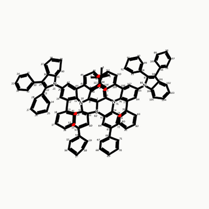 CC(C)(C)c1cc2c3c(c1)N(c1c(-c4ccccc4)cc(-n4c(-c5ccccc5)c(-c5ccccc5)c5ccccc54)cc1-c1ccccc1)c1ccc(-c4ccccc4)cc1B3c1cc(-c3ccccc3)ccc1N2c1c(-c2ccccc2)cc(-n2c(-c3ccccc3)c(-c3ccccc3)c3ccccc32)cc1-c1ccccc1